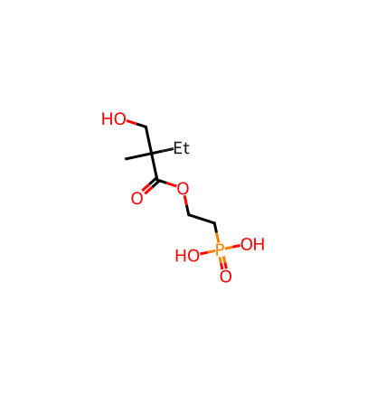 CCC(C)(CO)C(=O)OCCP(=O)(O)O